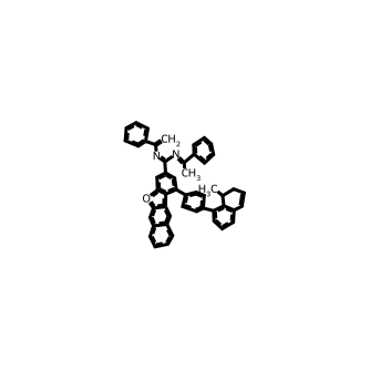 C=C(/N=C(\N=C(/C)c1ccccc1)c1cc(-c2ccc(-c3cccc4c3C(C)CC=C4)cc2)c2c(c1)oc1cc3ccccc3cc12)c1ccccc1